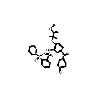 CC(C)OC(=O)C(C)(C)Oc1ccc(C(=O)c2ccc(Cl)cc2)cc1NS(=O)(=O)c1ccccc1S(=O)(=O)c1ccccc1